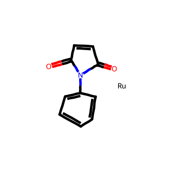 O=C1C=CC(=O)N1c1ccccc1.[Ru]